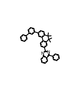 CC1(C)c2ccc(-c3cccc(-c4ccccc4)c3)cc2-c2ccc(-c3nc(-c4ccccc4)c4ccccc4n3)cc2C1(C)C